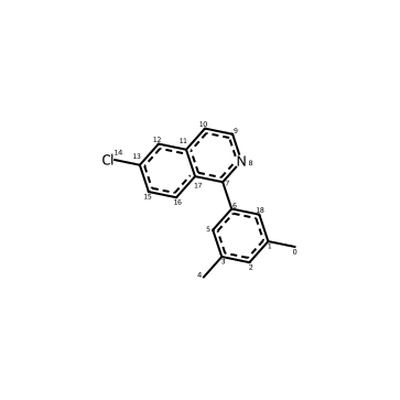 Cc1cc(C)cc(-c2nccc3cc(Cl)ccc23)c1